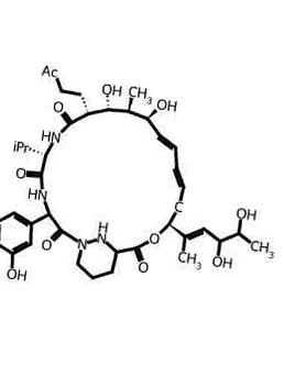 CC(=O)CC[C@H]1C(=O)N[C@@H](C(C)C)C(=O)NC(c2cccc(O)c2)C(=O)N2CCCC(N2)C(=O)O[C@H](/C(C)=C/C(O)C(C)O)C/C=C/C=C/[C@H](O)[C@H](C)[C@H]1O